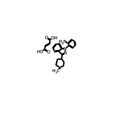 CN1CCC(c2nn(-c3ccccc3N)c3ccccc23)CC1.O=C(O)/C=C/C(=O)O